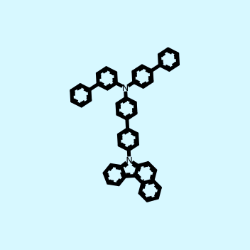 c1ccc(-c2ccc(N(c3ccc(-c4ccc(-n5c6ccccc6c6c7ccccc7ccc65)cc4)cc3)c3cccc(-c4ccccc4)c3)cc2)cc1